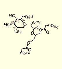 CCCCCCCCCCCC(=O)OCC(COC(=O)CCCCCCCCCCC)OC(=O)CCCCCCCCCCC.OC[C@H]1OC[C@H](O)[C@@H](O)[C@@H]1O